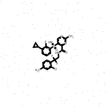 Cc1ccc(C(F)(F)CNC(=O)c2nc(C)ncc2S(=N)(=O)c2cccc(C3CC3)c2F)c(Cl)c1